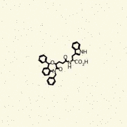 O=C(CCC1OC(c2ccccc2)c2ccccc2N(Cc2ccccc2)C1=O)N[C@@H](Cc1c[nH]c2ccccc12)C(=O)O